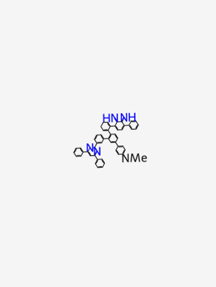 CNc1ccc(-c2ccc(C3=CCCC=C3C3=CC=C(c4ccccc4)C(=N)C3=N)c(-c3cccc(-c4nc(-c5ccccc5)cc(-c5ccccc5)n4)c3)c2)cc1